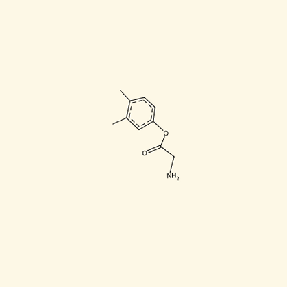 Cc1ccc(OC(=O)CN)cc1C